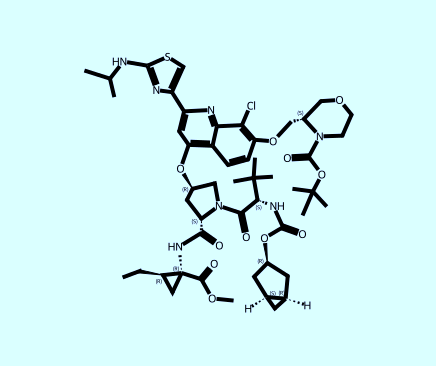 CC[C@@H]1C[C@]1(NC(=O)[C@@H]1C[C@@H](Oc2cc(-c3csc(NC(C)C)n3)nc3c(Cl)c(OC[C@@H]4COCCN4C(=O)OC(C)(C)C)ccc23)CN1C(=O)[C@@H](NC(=O)O[C@@H]1C[C@@H]2C[C@@H]2C1)C(C)(C)C)C(=O)OC